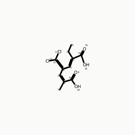 CCC(=CC(C=C(C)C(=O)O)=C(Cl)Cl)C(=O)O